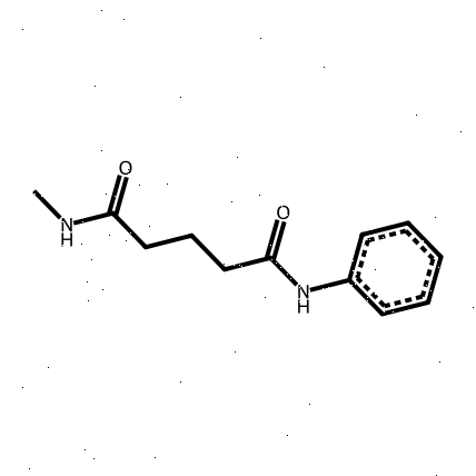 CNC(=O)CCCC(=O)Nc1ccccc1